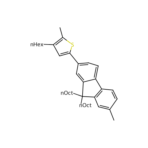 CCCCCCCCC1(CCCCCCCC)c2cc(C)ccc2-c2ccc(-c3cc(CCCCCC)c(C)s3)cc21